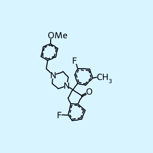 COc1ccc(CN2CCN(C3(c4cc(C)cc(F)c4)Cc4c(F)cccc4C3=O)CC2)cc1